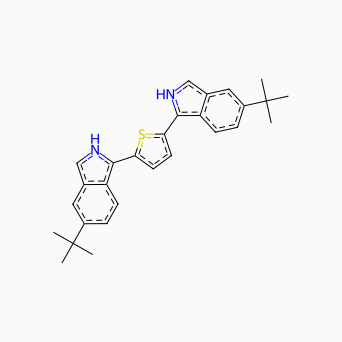 CC(C)(C)c1ccc2c(-c3ccc(-c4[nH]cc5cc(C(C)(C)C)ccc45)s3)[nH]cc2c1